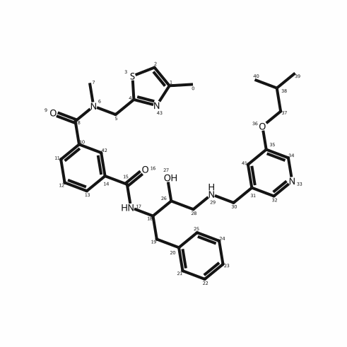 Cc1csc(CN(C)C(=O)c2cccc(C(=O)NC(Cc3ccccc3)C(O)CNCc3cncc(OCC(C)C)c3)c2)n1